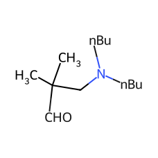 CCCCN(CCCC)CC(C)(C)C=O